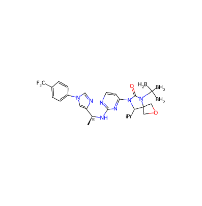 BC(B)(B)N1C(=O)N(c2ccnc(N[C@@H](C)c3cn(-c4ccc(C(F)(F)F)cc4)cn3)n2)C(C(C)C)C12COC2